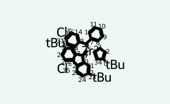 CC(C)(C)C1=CC[C]([Zr+2](=[C](c2ccccc2)c2ccccc2)[CH]2c3cc(C(C)(C)C)ccc3-c3ccc(C(C)(C)C)cc32)=C1.[Cl-].[Cl-]